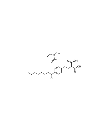 CCCCCCCC(=O)c1ccc(CCC(C(=O)O)C(=O)O)cc1.CCN(CC)C(C)=O